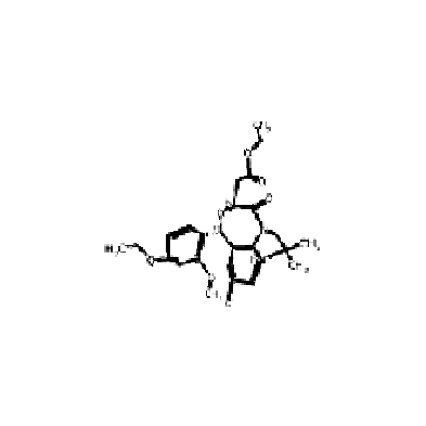 CCOC(=O)C[C@@H]1O[C@@H](c2ccc(OCC)cc2OC)c2cc(Cl)ccc2N(CC(C)(C)C)C1=O